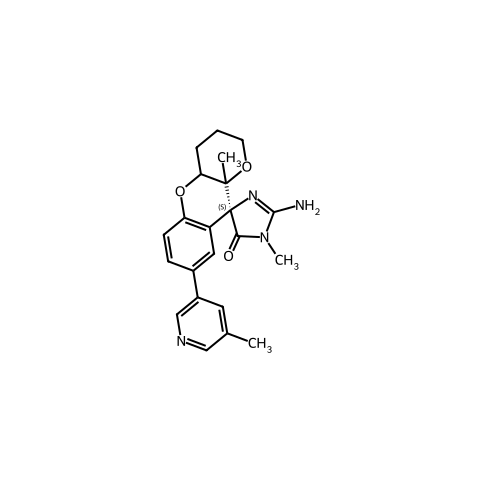 Cc1cncc(-c2ccc3c(c2)[C@]2(N=C(N)N(C)C2=O)C2(C)OCCCC2O3)c1